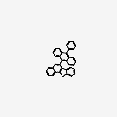 c1ccc(-c2c3ccccc3c(-c3cc4ccccc4c4oc5ccccc5c34)c3ccccc23)cc1